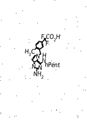 CCCCCNc1nc(N)nc2ccn(Cc3cc(C(F)(F)C(=O)O)ccc3C)c12